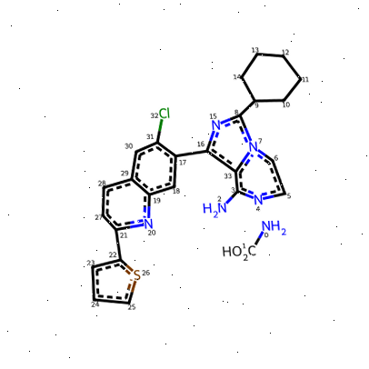 NC(=O)O.Nc1nccn2c(C3CCCCC3)nc(-c3cc4nc(-c5cccs5)ccc4cc3Cl)c12